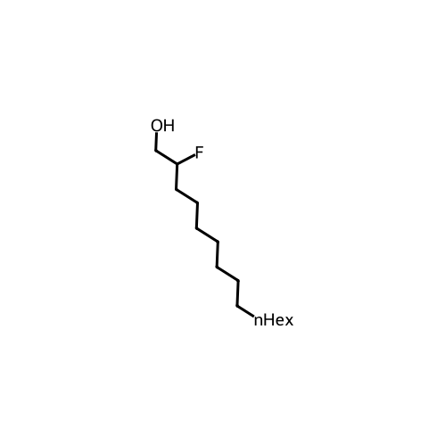 CCCCCCCCCCCCCC(F)CO